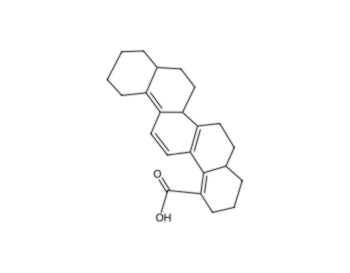 O=C(O)C1=C2C3=C(CCC2CCC1)C1CCC2CCCCC2=C1C=C3